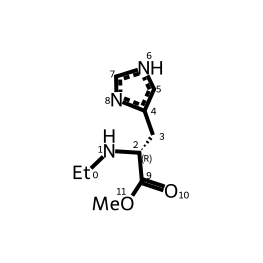 CCN[C@H](Cc1c[nH]cn1)C(=O)OC